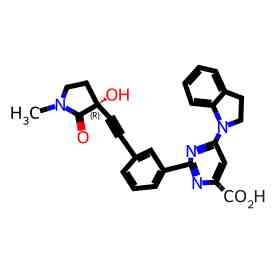 CN1CC[C@@](O)(C#Cc2cccc(-c3nc(C(=O)O)cc(N4CCc5ccccc54)n3)c2)C1=O